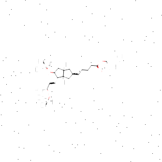 CCOC(=O)[C@@H](C)OC(=O)CCC/C=C1\C[C@H]2CC(O[Si](CC)(CC)CC)[C@H](/C=C/[C@@H](O[Si](CC)(CC)CC)C(C)CC)[C@H]2C1